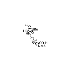 CNc1ccc(S(=O)(=O)c2ccc(CCNC(C(=O)OC(C)(C)C)[C@H](O)c3cccc(Cl)c3)cc2)cc1C(=O)O